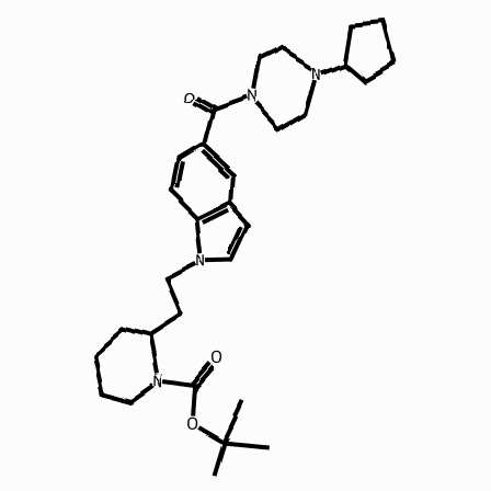 CC(C)(C)OC(=O)N1CCCCC1CCn1ccc2cc(C(=O)N3CCN(C4CCCC4)CC3)ccc21